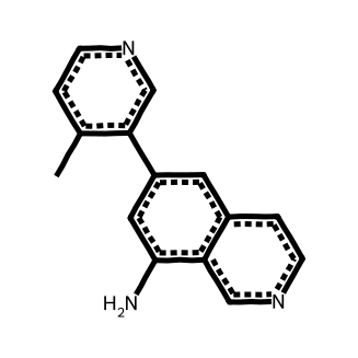 Cc1ccncc1-c1cc(N)c2cnccc2c1